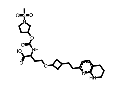 CS(=O)(=O)N1CCC(OC(=O)NC(CCOC2CC(CCc3ccc4c(n3)NCCC4)C2)C(=O)O)C1